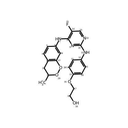 CC1Cc2ccc(Nc3nc(Nc4ccc(OCCO)cc4)ncc3F)cc2OO1